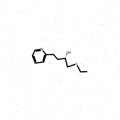 CCOC[C@@H](O)CCc1ccccn1